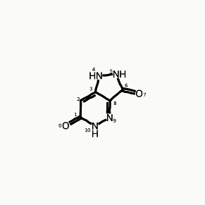 O=c1cc2[nH][nH]c(=O)c2n[nH]1